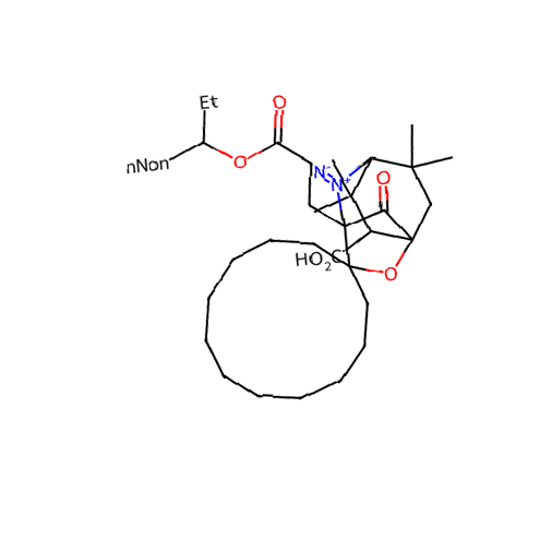 CCCCCCCCCC(CC)OC(=O)CCC12C(=O)C3(CC(C)(C)C([N+]1=[N-])C(C)(C)C3C(=O)O)OC21CCCCCCCCCCC1